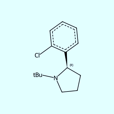 CC(C)(C)N1CCC[C@@H]1c1ccccc1Cl